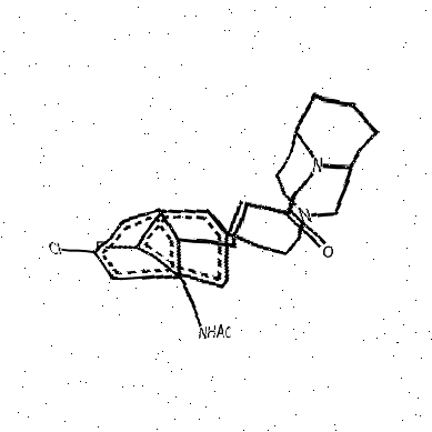 CC(=O)Nc1cc(Cl)ccc1C=CC(=O)N1C2CCCC1CN(Cc1ccc(F)cc1)C2